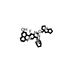 Oc1cc(-c2ncc3c(N4CC5CCC(C4)N5)nc(OCC45CCCN4C4CCCC4C5)nc3c2F)c2c(F)cccc2c1